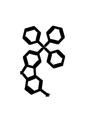 Brc1c#cc2oc3ccc([Si](c4ccccc4)(c4ccccc4)c4ccccc4)cc3c2c1